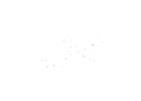 Cc1cnc(-c2cc(OC[C@H]3CN(C(=O)OC(C)(C)C)CCO3)cc(C(=O)NC(C)c3ccc(C(F)F)nc3)c2)s1